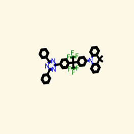 CC1(C)c2ccccc2N(c2ccc(C(c3ccc(-c4nc(-c5ccccc5)nc(-c5ccccc5)n4)cc3)(C(F)(F)F)C(F)(F)F)cc2)c2ccccc21